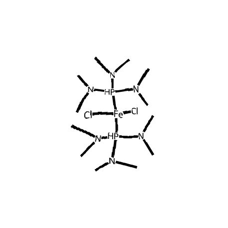 CN(C)[PH](N(C)C)(N(C)C)[Fe]([Cl])([Cl])[PH](N(C)C)(N(C)C)N(C)C